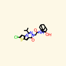 CC(C)c1nn(CC(=O)NC23CC4CC(CC(O)(C4)C2)C3)c(=O)c2cc3sc(Cl)cc3n12